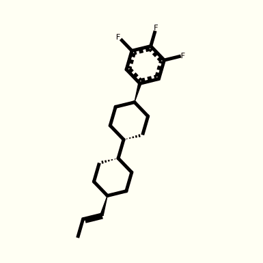 C/C=C/[C@H]1CC[C@H]([C@H]2CC[C@H](c3cc(F)c(F)c(F)c3)CC2)CC1